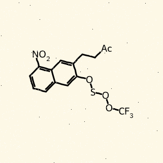 CC(=O)CCc1cc2c([N+](=O)[O-])cccc2cc1OSOOC(F)(F)F